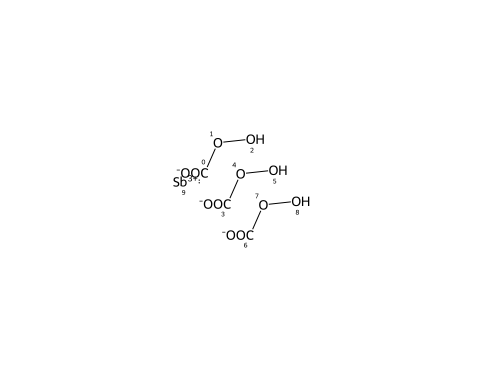 O=C([O-])OO.O=C([O-])OO.O=C([O-])OO.[Sb+3]